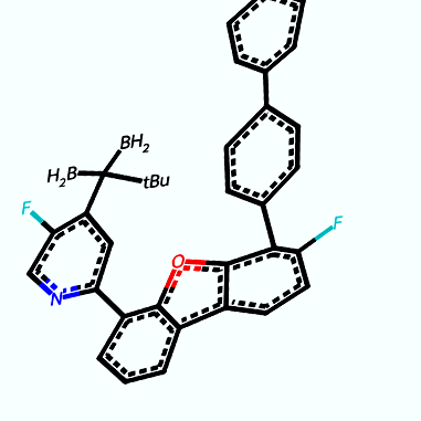 BC(B)(c1cc(-c2cccc3c2oc2c(-c4ccc(-c5ccccc5)cc4)c(F)ccc23)ncc1F)C(C)(C)C